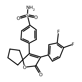 NS(=O)(=O)c1ccc(C2=C(c3ccc(F)c(F)c3)C(=O)OC23CCCC3)cc1